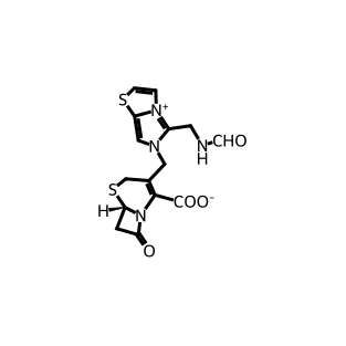 O=CNCc1n(CC2=C(C(=O)[O-])N3C(=O)C[C@@H]3SC2)cc2scc[n+]12